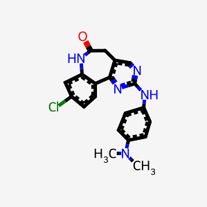 CN(C)c1ccc(Nc2ncc3c(n2)-c2ccc(Cl)cc2NC(=O)C3)cc1